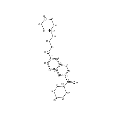 O=C(c1ccc2cc(OCCCN3CCOCC3)ccc2c1)N1CCSCC1